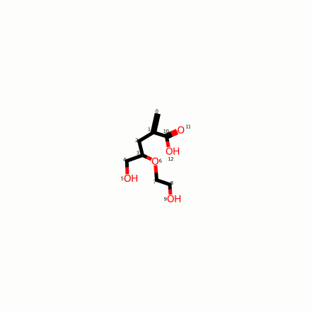 C=C(CC(CO)OCCO)C(=O)O